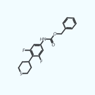 O=C(Nc1cc(F)c(C2CCSCC2)c(F)c1)OCc1ccccc1